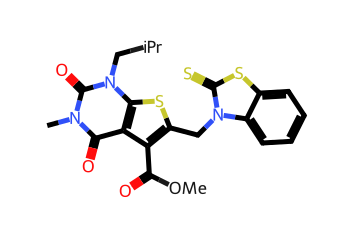 COC(=O)c1c(Cn2c(=S)sc3ccccc32)sc2c1c(=O)n(C)c(=O)n2CC(C)C